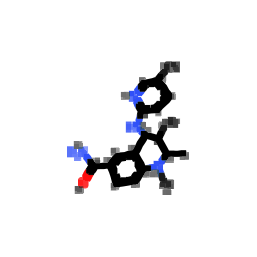 CCCC1C(Nc2ccc(C#N)cn2)c2cc(C(N)=O)ccc2N(C(C)=O)C1C